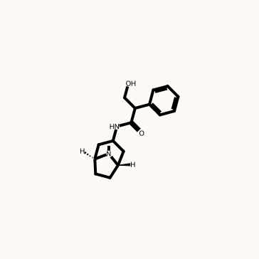 CN1[C@H]2CC[C@H]1CC(NC(=O)C(CO)c1ccccc1)C2